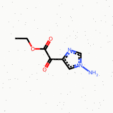 CCOC(=O)C(=O)c1cn(N)cn1